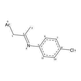 CC(=O)C/C(C)=N/c1ccc(Cl)cc1